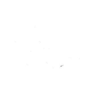 C=CC(=O)N1CCN(c2nc(OC3([C@@H]4CCCN4C)CC3)nc3c2CCN(c2ccccc2C)C3)C[C@@H]1CC#N